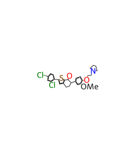 COc1cc(C2CCc3cc(-c4ccc(Cl)cc4Cl)sc3C2=O)ccc1OCCN1CCCC1